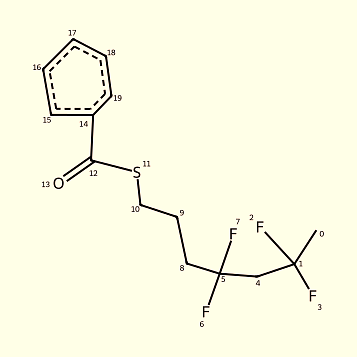 CC(F)(F)CC(F)(F)CCCSC(=O)c1ccccc1